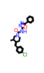 CC1CN(C(=O)Nc2nnc(-c3ccccc3)o2)CC/C1=C\c1ccc(Cl)cc1